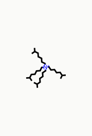 CC(C)CCCCC[N+](CCCCCC(C)C)(CCCCCC(C)C)CCCCCC(C)C